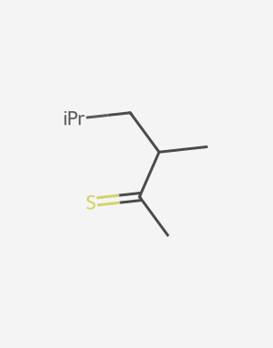 CC(=S)C(C)CC(C)C